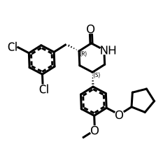 COc1ccc([C@H]2CNC(=O)[C@@H](Cc3cc(Cl)cc(Cl)c3)C2)cc1OC1CCCC1